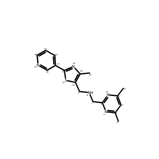 Cc1cc(C)nc(CNCc2sc(-c3cccnc3)nc2C)n1